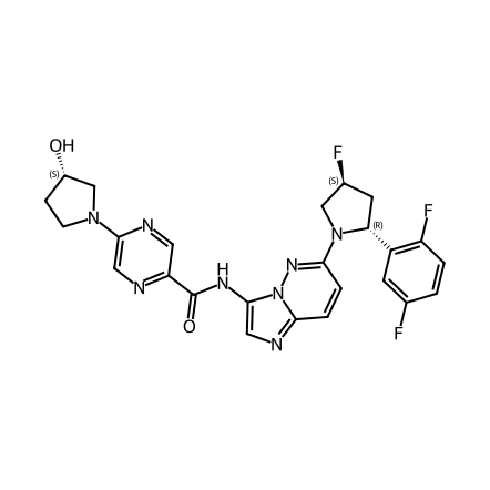 O=C(Nc1cnc2ccc(N3C[C@@H](F)C[C@@H]3c3cc(F)ccc3F)nn12)c1cnc(N2CC[C@H](O)C2)cn1